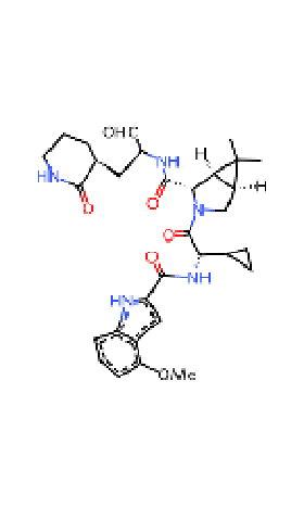 COc1cccc2[nH]c(C(=O)N[C@H](C(=O)N3C[C@H]4[C@@H]([C@H]3C(=O)N[C@H](C=O)C[C@@H]3CCCNC3=O)C4(C)C)C3CC3)cc12